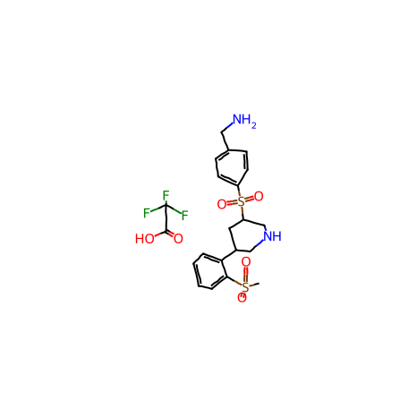 CS(=O)(=O)c1ccccc1C1CNCC(S(=O)(=O)c2ccc(CN)cc2)C1.O=C(O)C(F)(F)F